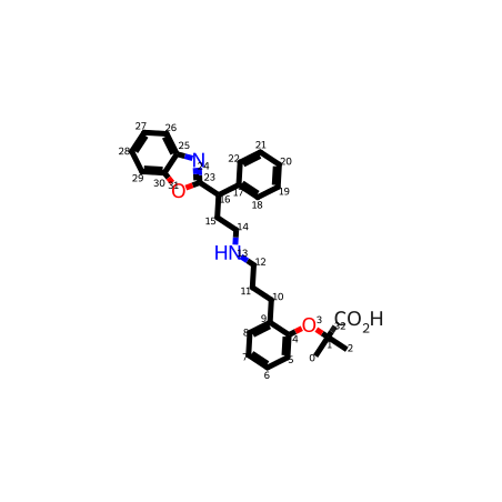 CC(C)(Oc1ccccc1CCCNCCC(c1ccccc1)c1nc2ccccc2o1)C(=O)O